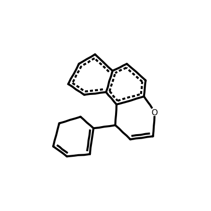 C1=CCCC(C2C=COc3ccc4ccccc4c32)=C1